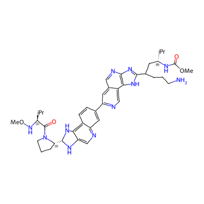 CON[C@H](C(=O)N1CCC[C@H]1C1Nc2cnc3cc(-c4cc5cnc6nc(C(CCCN)C[C@@H](NC(=O)OC)C(C)C)[nH]c6c5cn4)ccc3c2N1)C(C)C